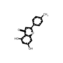 Cc1ccc(-c2cc(=O)c3c(O)cc(O)cc3o2)cc1